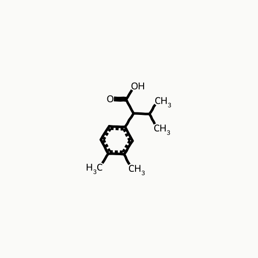 Cc1ccc(C(C(=O)O)C(C)C)cc1C